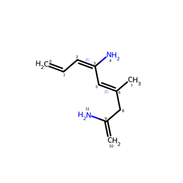 C=C/C=C(N)\C=C(/C)CC(=C)N